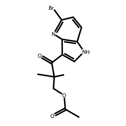 CC(=O)OCC(C)(C)C(=O)c1c[nH]c2ccc(Br)nc12